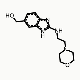 OCc1ccc2nc(NCCN3CCOCC3)[nH]c2c1